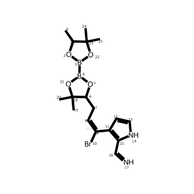 CC1OB(B2OC(C/C=C(/Br)c3cc[nH]c3C=N)C(C)(C)O2)OC1(C)C